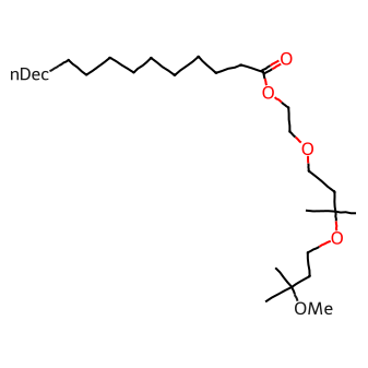 CCCCCCCCCCCCCCCCCCCC(=O)OCCOCCC(C)(C)OCCC(C)(C)OC